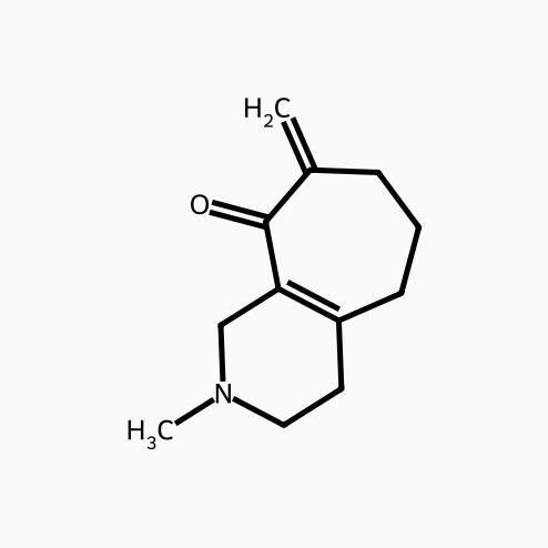 C=C1CCCC2=C(CN(C)CC2)C1=O